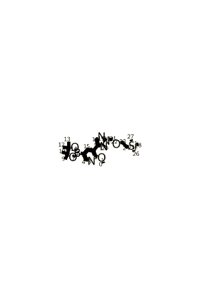 COc1ncc(B2OC(C)(C)C(C)(C)O2)cc1-c1cnn(COCC[Si](C)(C)C)n1